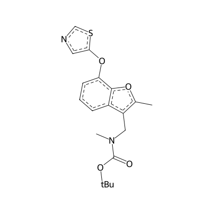 Cc1oc2c(Oc3cncs3)cccc2c1CN(C)C(=O)OC(C)(C)C